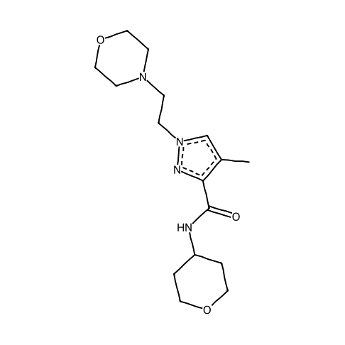 Cc1cn(CCN2CCOCC2)nc1C(=O)NC1CCOCC1